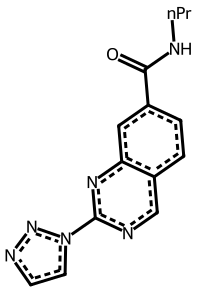 CCCNC(=O)c1ccc2cnc(-n3ccnn3)nc2c1